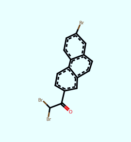 O=C(c1ccc2c(ccc3cc(Br)ccc32)c1)C(Br)Br